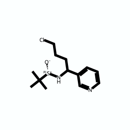 CC(C)(C)[S@+]([O-])NC(CCCCl)c1cccnc1